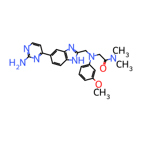 COc1cccc(N(CC(=O)N(C)C)Cc2nc3cc(-c4ccnc(N)n4)ccc3[nH]2)c1